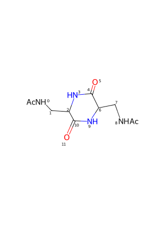 CC(=O)NCC1NC(=O)C(CNC(C)=O)NC1=O